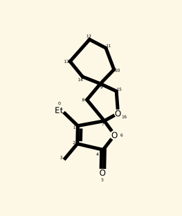 CCC1=C(C)C(=O)OC12CC1(CCCCC1)CO2